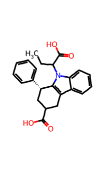 CCC(C(=O)O)n1c2c(c3ccccc31)CC(C(=O)O)C[C@@H]2c1ccccc1